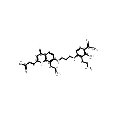 CCCc1c(OCCCOc2ccc3c(=O)cc(CCC(=O)O)oc3c2CCC)ccc(C(C)=O)c1O